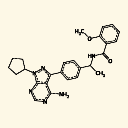 COc1ccccc1C(=O)NC(C)c1ccc(-c2nn(C3CCCC3)c3ncnc(N)c23)cc1